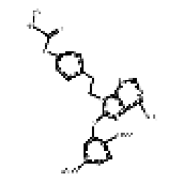 COc1ccc(OC)c(Sc2nc3c(N)ncnc3n2CCc2ccc(OC(=O)NC(C)(C)C)cc2)c1